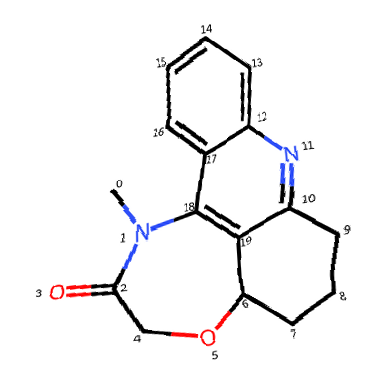 CN1C(=O)COC2CCCc3nc4ccccc4c1c32